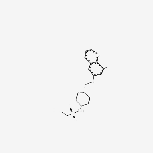 CCS(=O)(=O)N[C@H]1CC[C@H](CNc2cc(Cl)c3ncccc3c2)CC1